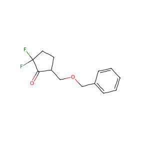 O=C1C(COCc2ccccc2)CCC1(F)F